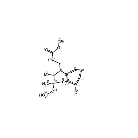 CCC(C(CNC(=O)OC(C)(C)C)c1cccc(Br)c1)C(C)(C)NC(=O)O